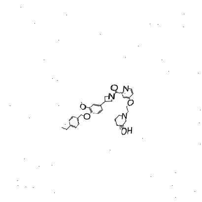 CCc1ccc(COc2ccc(C3CN(C(=O)c4cc(OCCN5CCC[C@@H](O)C5)ccn4)C3)cc2OC)cc1